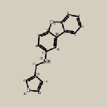 c1ccc2c(c1)oc1ccc(NCc3ccoc3)cc12